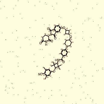 Cc1cc(OC2C(C)(C)C(NC(=O)c3ccc(N4CCC(OC5CC(Oc6ccc7c(c6)C(=O)N([C@@H]6CCC(=O)NC6=O)C7=O)C5)CC4)cc3)C2(C)C)cc(C)c1C#N